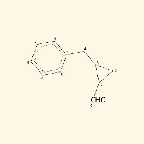 O=CC1CC1Cc1ccccc1